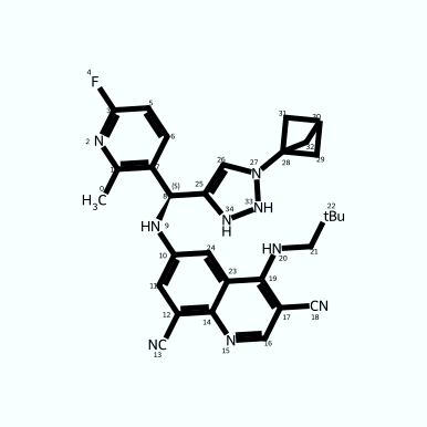 Cc1nc(F)ccc1[C@H](Nc1cc(C#N)c2ncc(C#N)c(NCC(C)(C)C)c2c1)C1=CN(C23CC(C2)C3)NN1